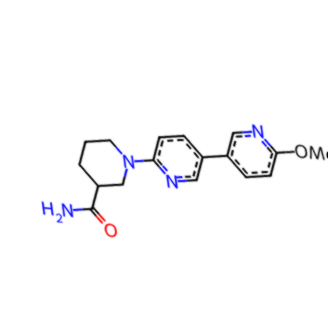 COc1ccc(-c2ccc(N3CCCC(C(N)=O)C3)nc2)cn1